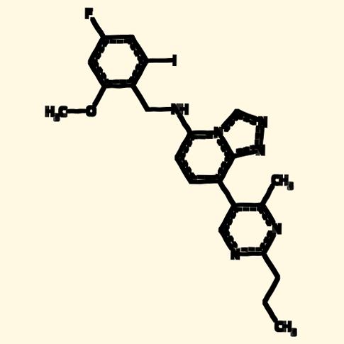 CCCc1ncc(-c2ccc(NCc3c(I)cc(F)cc3OC)n3cnnc23)c(C)n1